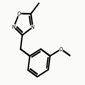 COc1cccc(Cc2noc(C)n2)c1